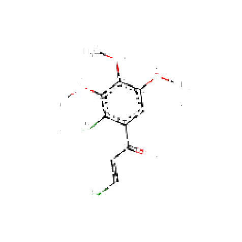 COc1cc(C(=O)/C=C/Cl)c(Br)c(OC)c1OC